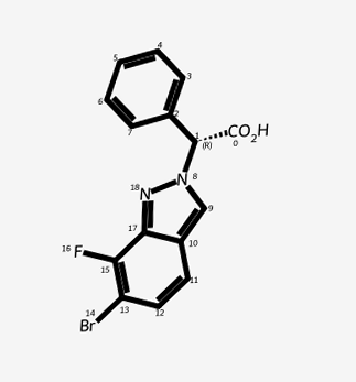 O=C(O)[C@@H](c1ccccc1)n1cc2ccc(Br)c(F)c2n1